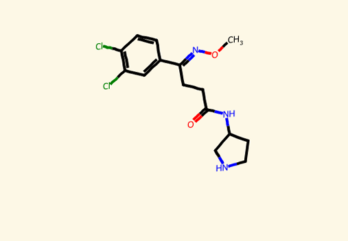 CON=C(CCC(=O)NC1CCNC1)c1ccc(Cl)c(Cl)c1